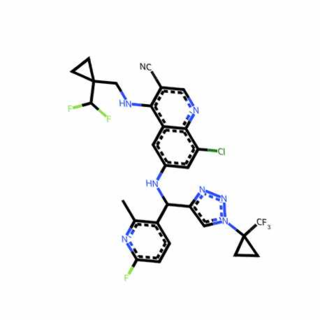 Cc1nc(F)ccc1C(Nc1cc(Cl)c2ncc(C#N)c(NCC3(C(F)F)CC3)c2c1)c1cn(C2(C(F)(F)F)CC2)nn1